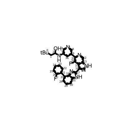 CC(C)(C)CC(O)Nc1cncc(-c2ncc3[nH]nc(-c4nc5c(-c6ccccc6F)cccc5[nH]4)c3c2F)c1